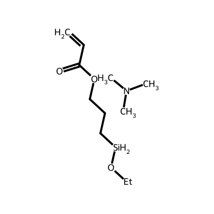 C=CC(=O)OCCC[SiH2]OCC.CN(C)C